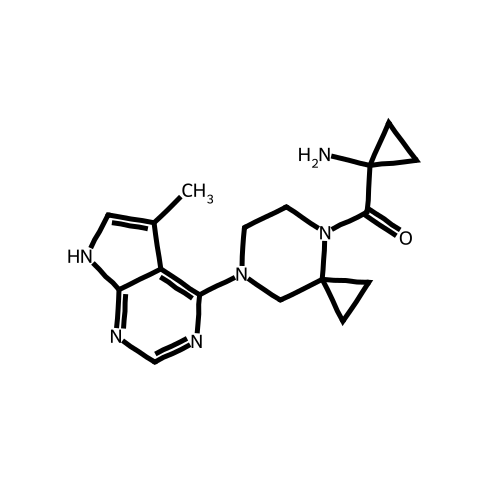 Cc1c[nH]c2ncnc(N3CCN(C(=O)C4(N)CC4)C4(CC4)C3)c12